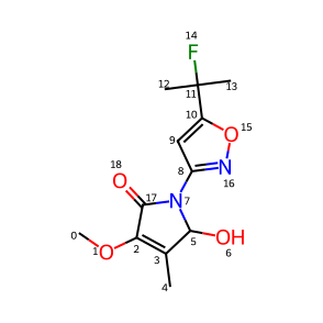 COC1=C(C)C(O)N(c2cc(C(C)(C)F)on2)C1=O